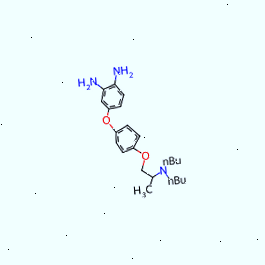 CCCCN(CCCC)C(C)COc1ccc(Oc2ccc(N)c(N)c2)cc1